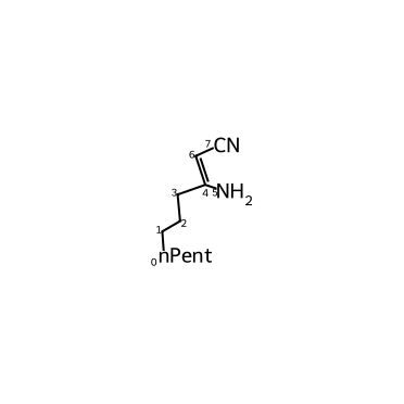 CCCCCCCCC(N)=CC#N